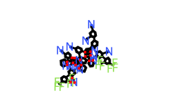 N#Cc1ccc(-c2ccc3c(c2)c2ccccc2n3-c2cc(-c3ccc(C(F)(F)F)cc3C(F)(F)F)c(C#N)cc2-n2c3ccc(-c4ccc(C#N)cc4C#N)cc3c3ccc(-c4cc(-c5ccc6c7ccccc7n(-c7cc(-c8ccc(C(F)(F)F)cc8C(F)(F)F)c(C#N)cc7-n7c8ccccc8c8ccc(-c9ccc(C#N)cc9C#N)cc87)c6c5)c(C#N)cc4C#N)cc32)c(C#N)c1